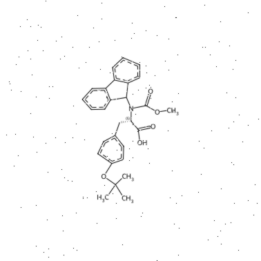 COC(=O)N(C1c2ccccc2-c2ccccc21)[C@@H](Cc1ccc(OC(C)(C)C)cc1)C(=O)O